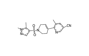 Cc1cc(C#N)cnc1C1=CCN(S(=O)(=O)c2cnn(C)c2C)CC1